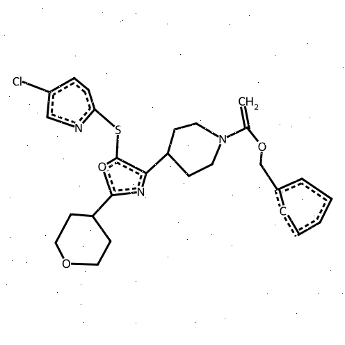 C=C(OCc1ccccc1)N1CCC(c2nc(C3CCOCC3)oc2Sc2ccc(Cl)cn2)CC1